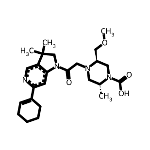 COC[C@H]1CN(C(=O)O)[C@H](C)CN1CC(=O)N1CC(C)(C)c2cnc(C3=CCCCC3)cc21